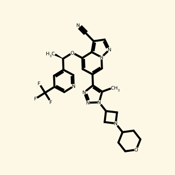 Cc1c(-c2cc(O[C@H](C)c3cncc(C(F)(F)F)c3)c3c(C#N)cnn3c2)nnn1C1CN(C2CCOCC2)C1